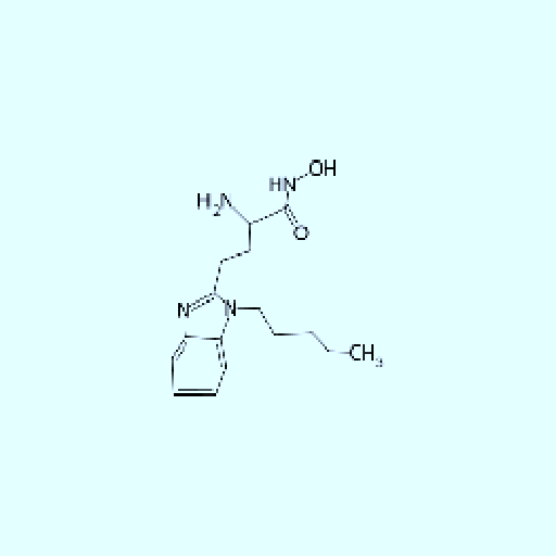 CCCCCn1c(CCC(N)C(=O)NO)nc2ccccc21